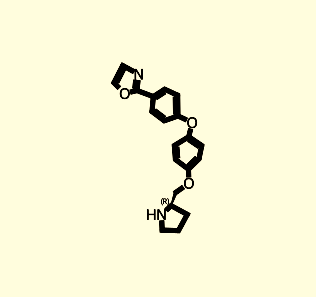 c1coc(-c2ccc(Oc3ccc(OC[C@H]4CCCN4)cc3)cc2)n1